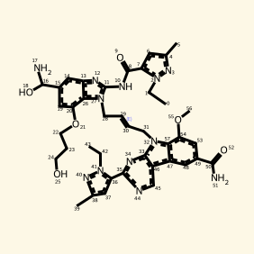 CCn1nc(C)cc1C(=O)Nc1nc2cc(C(N)O)cc(OCCCO)c2n1C/C=C/Cn1c2nc(-c3cc(C)nn3CC)ncc2c2cc(C(N)=O)cc(OC)c21